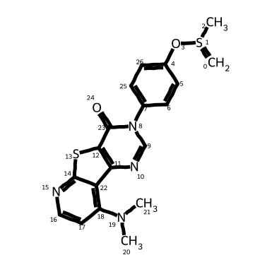 C=S(C)Oc1ccc(-n2cnc3c(sc4nccc(N(C)C)c43)c2=O)cc1